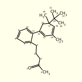 CC(=O)CCCc1ccccc1C1=CC(C)=CC(C)(C(C)(C)C)C1